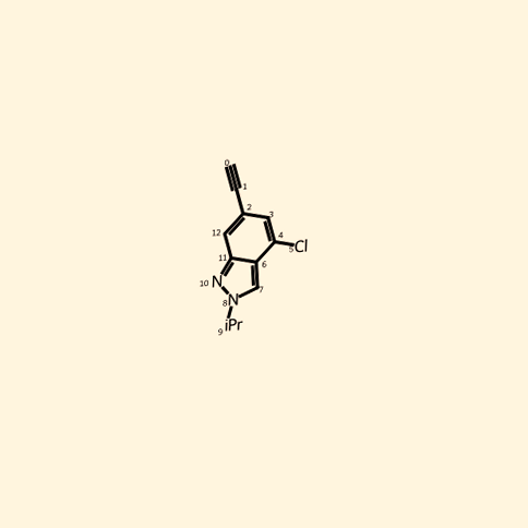 C#Cc1cc(Cl)c2cn(C(C)C)nc2c1